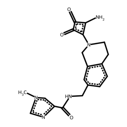 Cn1cnc(C(=O)NCc2ccc3c(c2)CN(c2c(N)c(=O)c2=O)CC3)c1